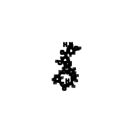 COc1cc(C(=O)N2CC[C@@H](OC)[C@@H](N)C2)cc2nc(-c3cc4ccc5nc4n3CCCc3cccc(c3)CC(=O)N[C@@H]5C)n(C)c12